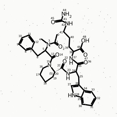 CC(=O)N(C)C(Cc1ccccc1)C(=O)N1CCCC[C@H]1C(=O)NC(Cc1c[nH]c2ccccc12)C(=O)NC(CCCNC(N)=O)C(=O)O